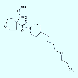 CC(C)(C)OC(=O)C1(S(=O)(=O)N2CCC(CCCCOCCC(F)(F)F)CC2)CCOCC1